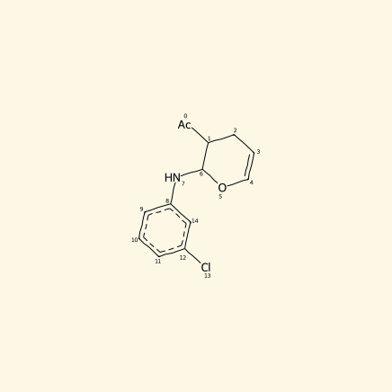 CC(=O)C1CC=COC1Nc1cccc(Cl)c1